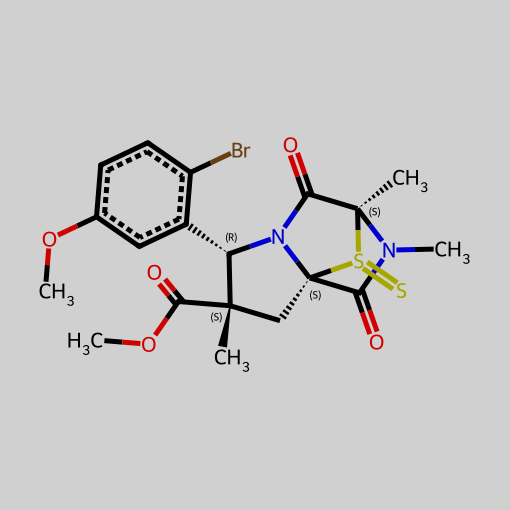 COC(=O)[C@@]1(C)C[C@]23C(=O)N(C)[C@](C)(C(=O)N2[C@H]1c1cc(OC)ccc1Br)S3=S